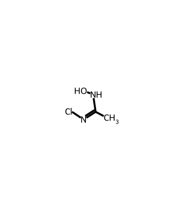 CC(=NCl)NO